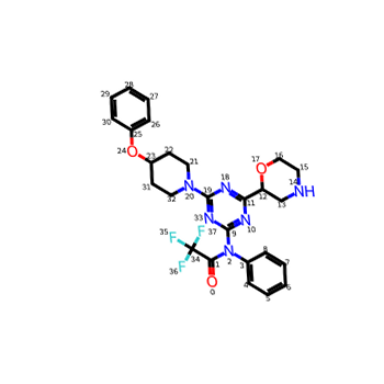 O=C(N(c1ccccc1)c1nc(C2CNCCO2)nc(N2CCC(Oc3ccccc3)CC2)n1)C(F)(F)F